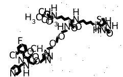 COC(=O)C1=C(COCc2cn(CCOCCOCCNC(=O)[C@@H](CCCCNC(=O)OC(C)(C)C)NC(=O)CCCC[C@@H]3SC[C@@H]4NC(=O)N[C@@H]43)nn2)NC(c2ccncc2)=NC1c1ccc(F)cc1Cl